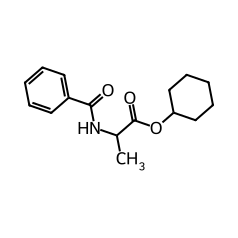 CC(NC(=O)c1ccccc1)C(=O)OC1CCCCC1